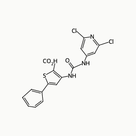 O=C(Nc1cc(Cl)nc(Cl)c1)Nc1cc(-c2ccccc2)sc1C(=O)O